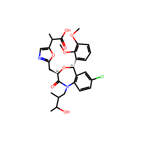 COc1cccc([C@H]2O[C@H](Cc3ncc(C(C)C(=O)O)o3)C(=O)N(CC(C)C(C)O)c3ccc(Cl)cc32)c1OC